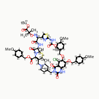 COc1ccc(COC(=O)C2=C(C[N+]34CCC(Cn5c(=O)[nH]c6cc(OCc7ccc(OC)cc7)c(OCc7ccc(OC)cc7)c(Cl)c6c5=O)(CC3)CC4)[C@H](C)S[C@@H]3[C@H](NC(=O)/C(=N\OC(C)(C)C(=O)OC(C)(C)C)c4csc(NC(=O)OC(C)(C)C)n4)C(=O)N23)cc1